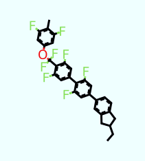 CCC1Cc2ccc(-c3cc(F)c(-c4cc(F)c(C(F)(F)Oc5cc(F)c(C)c(F)c5)c(F)c4)c(F)c3)cc2C1